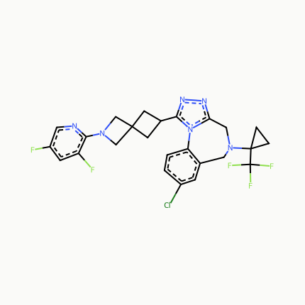 Fc1cnc(N2CC3(CC(c4nnc5n4-c4ccc(Cl)cc4CN(C4(C(F)(F)F)CC4)C5)C3)C2)c(F)c1